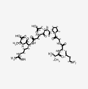 C[C@H](N)C(=O)N[C@@H](CCCCN)C(=O)NCC(=O)N1CCC[C@H]1C(=O)N[C@@H](CC(=O)O)C(=O)NCC(=O)N[C@@H](CCCNC(=N)N)C(=O)N[C@@H](C)C(=O)O